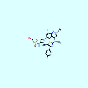 CN(c1nc(-c2ccc(F)cc2)c(C#N)s1)c1cc(C2CC2)nc2c(F)cc(N3CC(NS(=O)(=O)CCO)C3)cc12